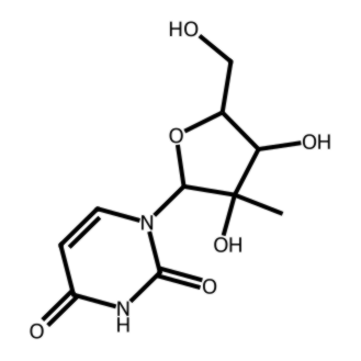 CC1(O)C(O)C(CO)OC1n1ccc(=O)[nH]c1=O